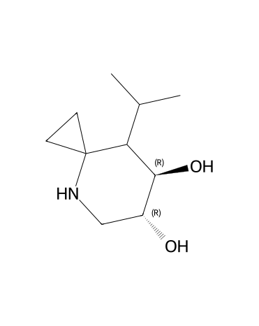 CC(C)C1[C@@H](O)[C@H](O)CNC12CC2